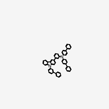 c1ccc(-c2ccc(N(c3ccc(-c4ccccc4)cc3)c3cccc(-c4ccc5c(c4)c4ccccc4n5-c4cccc(-c5ccccc5)c4)c3)cc2)cc1